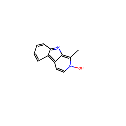 Cc1c2nc3ccccc3c-2ccn1O